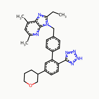 CCc1nc2c(C)cc(C)nc2n1Cc1ccc(-c2cc(C3CCCOC3)ccc2-c2nn[nH]n2)cc1